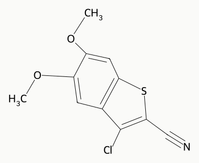 COc1cc2sc(C#N)c(Cl)c2cc1OC